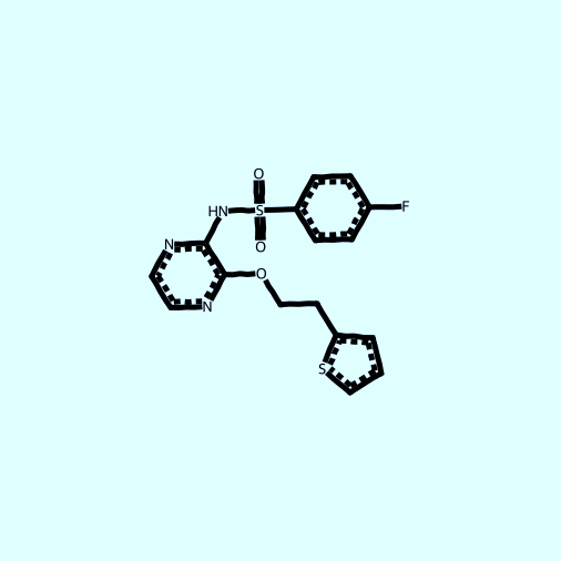 O=S(=O)(Nc1nccnc1OCCc1cccs1)c1ccc(F)cc1